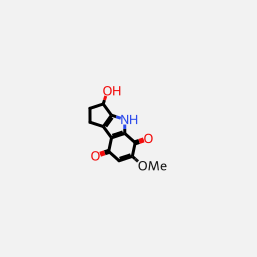 COC1=CC(=O)c2c([nH]c3c2CCC3O)C1=O